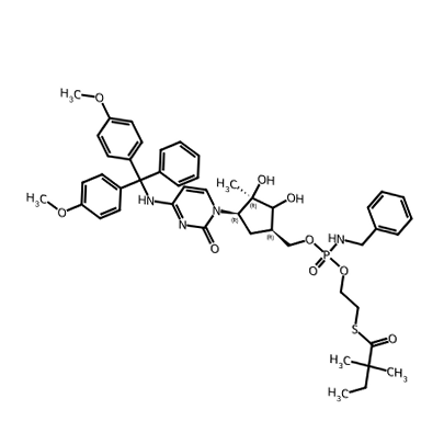 CCC(C)(C)C(=O)SCCOP(=O)(NCc1ccccc1)OC[C@H]1C[C@@H](n2ccc(NC(c3ccccc3)(c3ccc(OC)cc3)c3ccc(OC)cc3)nc2=O)[C@@](C)(O)C1O